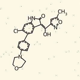 Cc1cc(/C(O)=C2\C(=O)Nc3cc(Cl)c(-c4ccc(N5CCOCC5)cc4)cc32)no1